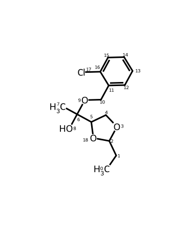 CCC1OCC(C(C)(O)OCc2ccccc2Cl)O1